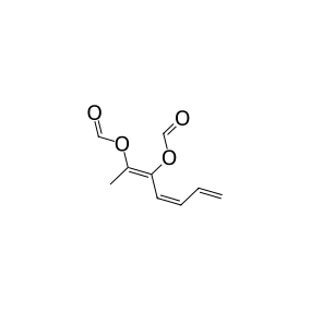 C=C/C=C\C(OC=O)=C(/C)OC=O